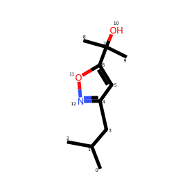 CC(C)[CH]c1cc(C(C)(C)O)on1